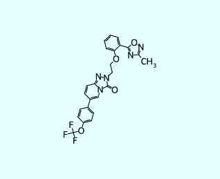 Cc1noc(-c2ccccc2OCCn2nc3ccc(-c4ccc(OC(F)(F)F)cc4)cn3c2=O)n1